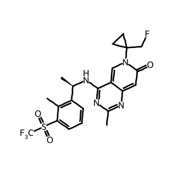 Cc1nc(N[C@H](C)c2cccc(S(=O)(=O)C(F)(F)F)c2C)c2cn(C3(CF)CC3)c(=O)cc2n1